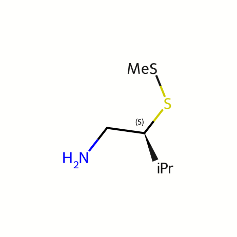 CSS[C@H](CN)C(C)C